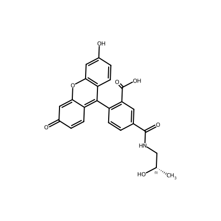 C[C@H](O)CNC(=O)c1ccc(-c2c3ccc(=O)cc-3oc3cc(O)ccc23)c(C(=O)O)c1